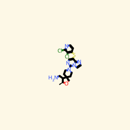 C[C@@H]1OCC2(CCN(c3ncc(Sc4ccnc(Cl)c4Cl)c4nccn34)CC2)C1CN